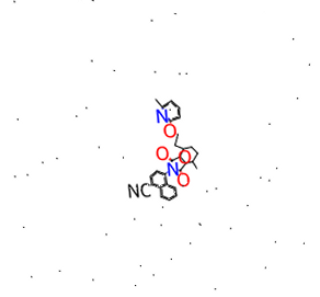 Cc1cccc(OCCC23CCC(C)(O2)C2C(=O)N(c4ccc(C#N)c5ccccc45)C(=O)C23)n1